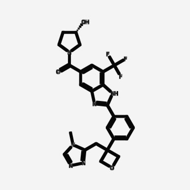 Cn1cnnc1CC1(c2cccc(-c3nc4cc(C(=O)N5CC[C@H](O)C5)cc(C(F)(F)F)c4[nH]3)c2)COC1